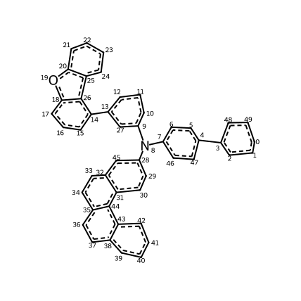 c1ccc(-c2ccc(N(c3cccc(-c4cccc5oc6ccccc6c45)c3)c3ccc4c(ccc5ccc6ccccc6c54)c3)cc2)cc1